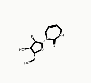 O=C1NCC=CCN1[C@@H]1O[C@H](CO)[C@@H](O)[C@H]1F